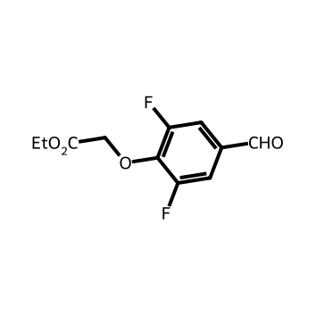 CCOC(=O)COc1c(F)cc(C=O)cc1F